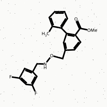 COC(=O)c1ccc(CONCc2cc(F)cc(F)c2)cc1-c1ccccc1C